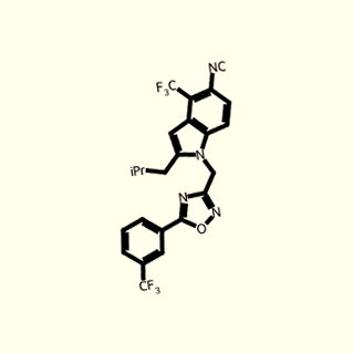 [C-]#[N+]c1ccc2c(cc(CC(C)C)n2Cc2noc(-c3cccc(C(F)(F)F)c3)n2)c1C(F)(F)F